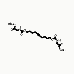 CCCCOC(=O)CNC(=O)OCCCCC#CCCCCOC(=O)NCC(=O)OCCCC